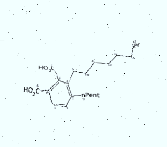 CCCCCc1ccc(C(=O)O)c(C(=O)O)c1CCCCCCC(C)C